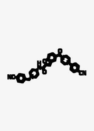 N#Cc1ccc(CN2CCC(NC(=O)c3cc4cc(C(=O)N5CCN(c6ccc(C#N)cc6)CC5)ccc4o3)CC2)cc1